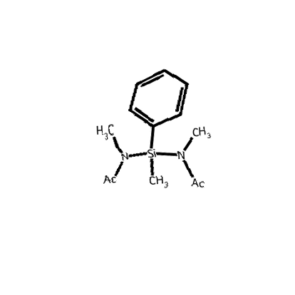 CC(=O)N(C)[Si](C)(c1ccccc1)N(C)C(C)=O